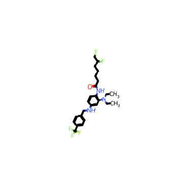 CCN(CC)c1cc(NCc2ccc(C(F)(F)F)cc2)ccc1NC(=O)CCCCC(F)CF